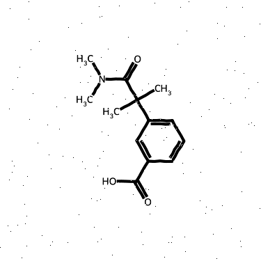 CN(C)C(=O)C(C)(C)c1cccc(C(=O)O)c1